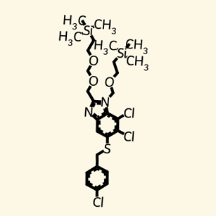 C[Si](C)(C)CCOCOCc1nc2cc(SCc3ccc(Cl)cc3)c(Cl)c(Cl)c2n1COCC[Si](C)(C)C